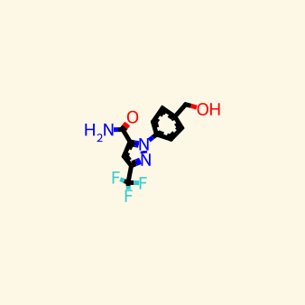 NC(=O)c1cc(C(F)(F)F)nn1-c1ccc(CO)cc1